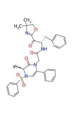 CC(C)[C@H]1C(=O)N(CC(=O)N[C@@H](Cc2ccccc2)C(=O)C2=NC(C)(C)CO2)C(c2ccccc2)=CN1S(=O)(=O)c1ccccc1